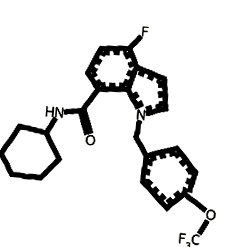 O=C(NC1CCCCC1)c1ccc(F)c2ccn(Cc3ccc(OC(F)(F)F)cc3)c12